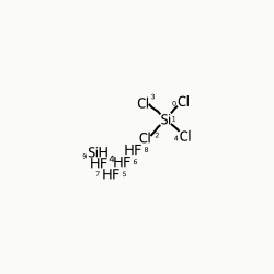 Cl[Si](Cl)(Cl)Cl.F.F.F.F.[SiH4]